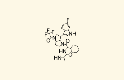 CNC(C)C(=O)NC(C(=O)N1CCC2C1C(c1c[nH]c3cc(F)ccc13)CN2C(=O)C(F)(F)F)C1CCCCC1